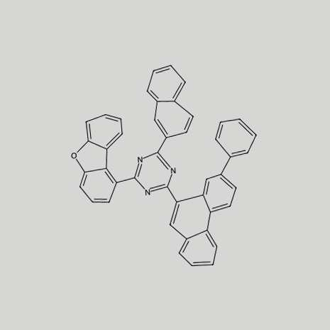 c1ccc(-c2ccc3c(c2)c(-c2nc(-c4ccc5ccccc5c4)nc(-c4cccc5oc6ccccc6c45)n2)cc2ccccc23)cc1